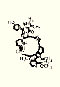 CCn1c(-c2cccnc2[C@H](C)OC)c2c3cc(ccc31)-c1csc(n1)C[C@H](NC(=O)[C@H](C(C)C)N(C)C(=O)N1CC[C@H](O)C1)C(=O)N1CCC[C@@](O)(N1)C(=O)OCC(C)(C)C2